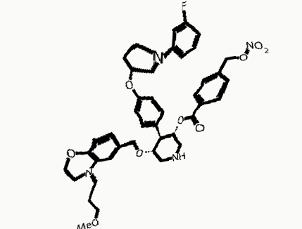 COCCCN1CCOc2ccc(CO[C@H]3CNC[C@@H](OC(=O)c4ccc(CO[N+](=O)[O-])cc4)[C@@H]3c3ccc(O[C@H]4CCN(c5cccc(F)c5)C4)cc3)cc21